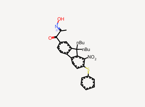 CCCCC1(CCCC)c2cc(C(=O)/C(C)=N/O)ccc2-c2ccc(Sc3ccccc3)c([N+](=O)[O-])c21